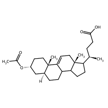 CC(=O)O[C@@H]1CC[C@]2(C)C3=CC[C@@]4(C)C(CCC4[C@H](C)CCC(=O)O)C3CC[C@H]2C1